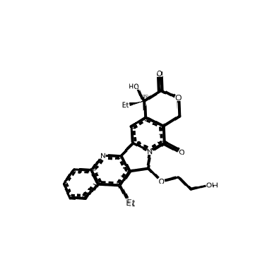 CCc1c2c(nc3ccccc13)-c1cc3c(c(=O)n1C2OCCO)COC(=O)[C@]3(O)CC